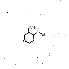 CCNC1CCOCC1SC